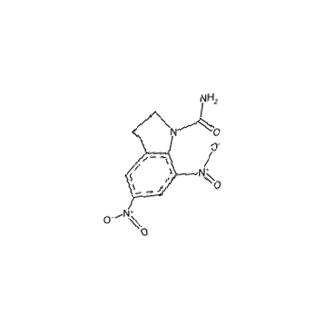 NC(=O)N1CCc2cc([N+](=O)[O-])cc([N+](=O)[O-])c21